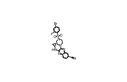 N#Cc1ccc2nc(NC3CC3)c(N3CCN(S(=O)(=O)c4ccc(Br)cc4F)CC3)nc2c1